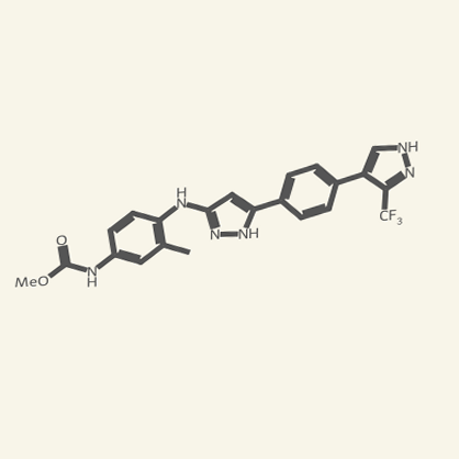 COC(=O)Nc1ccc(Nc2cc(-c3ccc(-c4c[nH]nc4C(F)(F)F)cc3)[nH]n2)c(C)c1